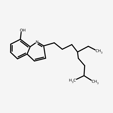 CCC(CCCc1ccc2cccc(O)c2n1)CCC(C)C